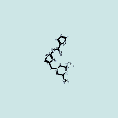 CC1CN(Cc2csc(NC(=O)c3ccco3)n2)CC(C)O1